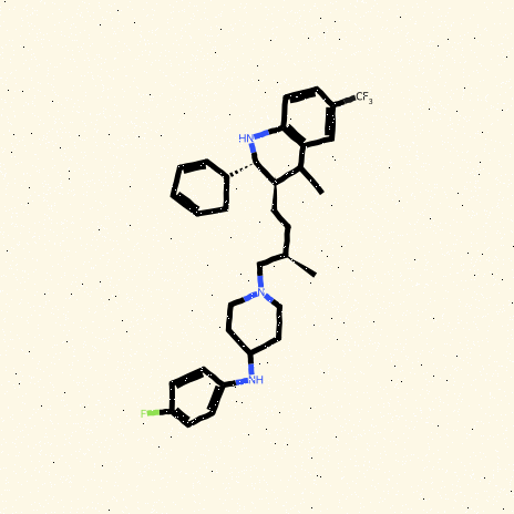 CC1c2cc(C(F)(F)F)ccc2N[C@@H](C2C=CC=CC2)[C@@H]1CC[C@@H](C)CN1CCC(Nc2ccc(F)cc2)CC1